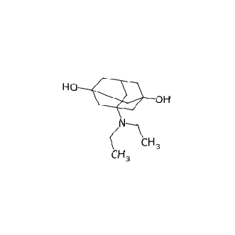 CCN(CC)C12CC3CC(O)(CC(O)(C3)C1)C2